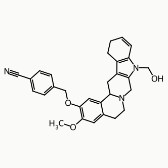 COc1cc2c(cc1OCc1ccc(C#N)cc1)C1Cc3c4c(n(CO)c3CN1CC2)C=CCC4